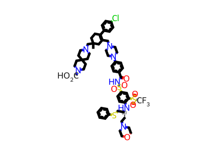 CC1(CN2CCC3(CC2)CCN(C(=O)O)CC3)CCC(c2ccc(Cl)cc2)=C(CN2CCN(c3ccc(C(=O)NS(=O)(=O)c4ccc(N[C@H](CCN5CCOCC5)CSc5ccccc5)c(S(=O)(=O)C(F)(F)F)c4)cc3)CC2)C1